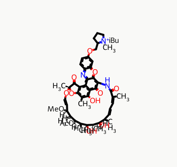 CCC(C)[N+]1(C)CCCC1COc1ccc2nc3c4c5c6c(C)c(O)c4c(=O)c(c-3oc2c1)NC(=O)/C(C)=C\C=C\[C@H](C)[C@H](O)[C@@H](C)[C@@H](O)[C@@H](C)[C@H](OC(C)=O)[C@H](C)[C@@H](OC)/C=C/O[C@@](C)(O6)C5=O